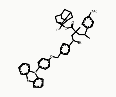 CCC(CC(C)(CC(C)c1ccc(OC(C)=O)cc1)C(=O)OC1(CC)C2CC3CC(C2)CC1C3)c1ccc(COc2ccc([S+]3c4ccccc4Sc4ccccc43)cc2)cc1